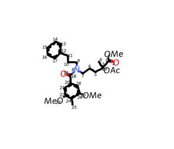 COC(=O)C(C)(CCCN(CCCc1ccccc1)C(=O)c1cc(OC)c(C)c(OC)c1)OC(C)=O